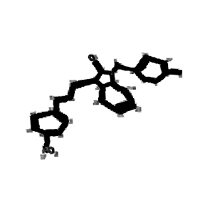 Cc1ccc(CN2C(=O)/C(=C/C=C/c3ccc([N+](=O)[O-])cc3)c3ccccc32)cc1